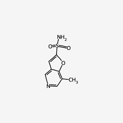 Cc1cncc2cc(S(N)(=O)=O)oc12